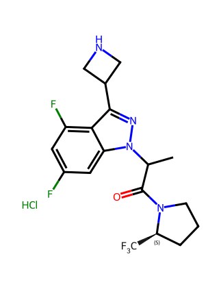 CC(C(=O)N1CCC[C@H]1C(F)(F)F)n1nc(C2CNC2)c2c(F)cc(F)cc21.Cl